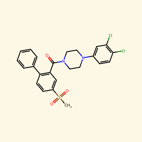 CS(=O)(=O)c1ccc(-c2ccccc2)c(C(=O)N2CCN(c3ccc(Cl)c(Cl)c3)CC2)c1